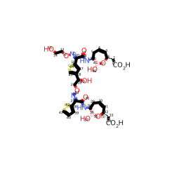 O=C(O)C[C@H]1C=CC[C@H](NC(=O)/C(=N/OCCO)c2cc(C(O)CO/N=C(\C(=O)N[C@H]3CC=C[C@H](CC(=O)O)OB3O)c3cccs3)cs2)B(O)O1